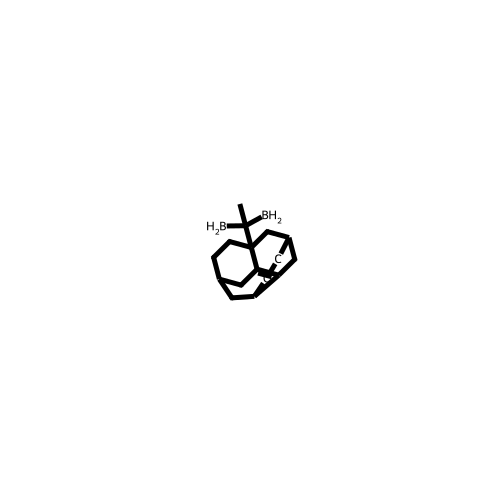 BC(B)(C)C12CCC3CC1=C1CC(CCC1C3)C2